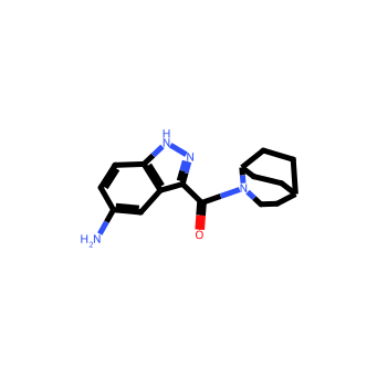 Nc1ccc2[nH]nc(C(=O)N3CCC4CCC3CC4)c2c1